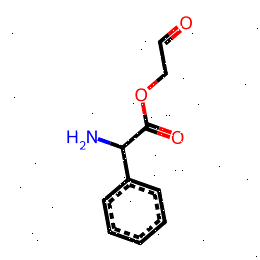 NC(C(=O)OCC=O)c1ccccc1